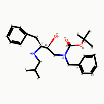 CC(C)CN[C@@H](Cc1ccccc1)[C@@H](O)CN(Cc1ccccc1)C(=O)OC(C)(C)C